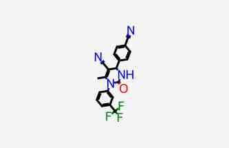 CC1=C(C#N)C(c2ccc(C#N)cc2)NC(=O)N1c1cccc(C(F)(F)F)c1